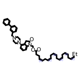 CC/C=C\C/C=C\C/C=C\C/C=C\C/C=C\C/C=C\CCC(=O)OCN1C(=O)Cc2c(N3CCN(Cc4cccc(-c5ccccc5)c4)CC3)cccc21